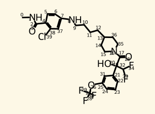 CNC(=O)c1ccc(NCCCCC2CCN(C(=O)[C@@](O)(c3cccc(OC(F)(F)F)c3)C(F)F)CC2)cc1Cl